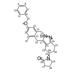 Cc1cc(OCc2ccccc2)cc(C)c1Cc1[nH]nc2c1C[C@H](N1CCCC1=O)CC2